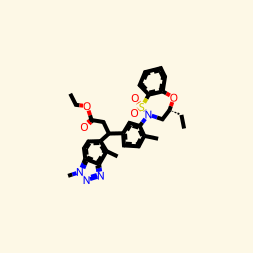 CCOC(=O)CC(c1ccc(C)c(N2C[C@@H](CC)Oc3ccccc3S2(=O)=O)c1)c1ccc2c(nnn2C)c1C